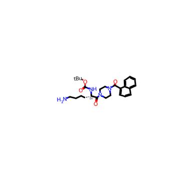 CC(C)(C)OC(=O)N[C@@H](CCCCN)C(=O)N1CCN(C(=O)c2cccc3ccccc23)CC1